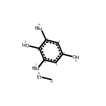 CC(C)(C)c1cc(O)cc(C(C)(C)C)c1O.CCC